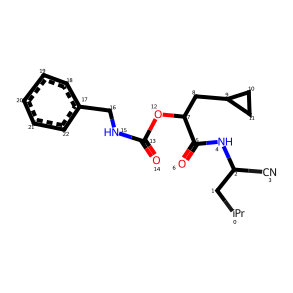 CC(C)CC(C#N)NC(=O)C(CC1CC1)OC(=O)NCc1ccccc1